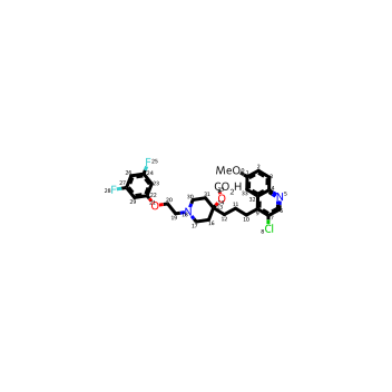 COc1ccc2ncc(Cl)c(CCCC3(OC(=O)O)CCN(CCOc4cc(F)cc(F)c4)CC3)c2c1